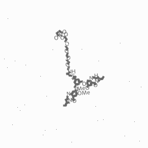 C=C(CSC(C)(C)c1cc(COc2cc3c(cc2OC)C(=O)N2C/C(=C/C)CC2C=N3)cc(COc2cc3c(cc2OC)C(=O)N2C/C(=C/C)C[C@H]2C=N3)c1)NCCOCCOCCOCCOCCC(=O)ON1C(=O)CCC1=O